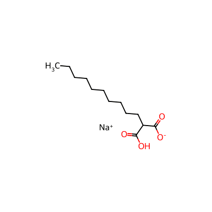 CCCCCCCCCCC(C(=O)[O-])C(=O)O.[Na+]